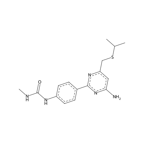 CNC(=O)Nc1ccc(-c2nc(N)cc(CSC(C)C)n2)cc1